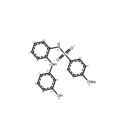 COc1ccc(S(=O)(=O)Nc2ccccc2Nc2cccc(O)c2)cc1